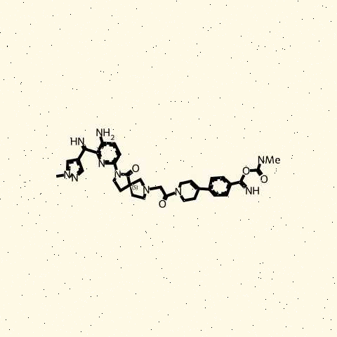 CNC(=O)OC(=N)c1ccc(C2=CCN(C(=O)CN3CC[C@]4(CCN(c5ccc(N)c(C(=N)c6cnn(C)c6)n5)C4=O)C3)CC2)cc1